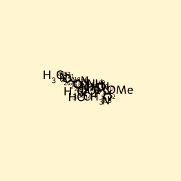 COc1ccncc1-c1nccc(C(=O)Nc2nc3cc(C4CCN(C)CC4)ccc3n2CC(C)(C)O)c1F